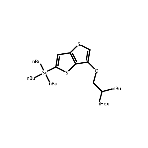 CCCCCCC(CCCC)COc1csc2c[c]([Sn]([CH2]CCC)([CH2]CCC)[CH2]CCC)sc12